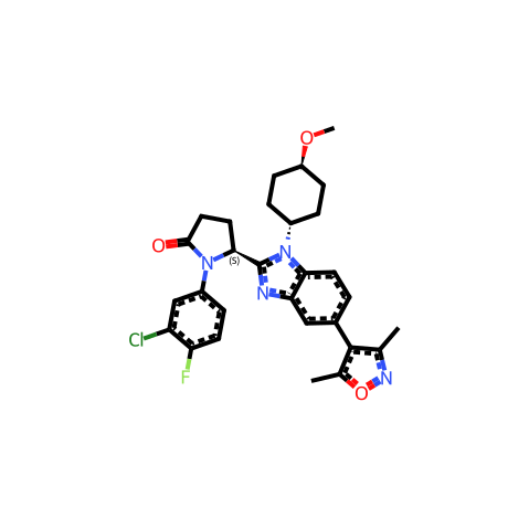 CO[C@H]1CC[C@H](n2c([C@@H]3CCC(=O)N3c3ccc(F)c(Cl)c3)nc3cc(-c4c(C)noc4C)ccc32)CC1